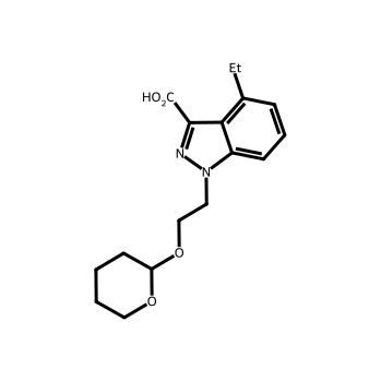 CCc1cccc2c1c(C(=O)O)nn2CCOC1CCCCO1